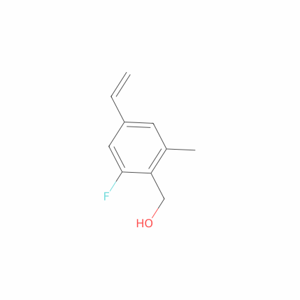 C=Cc1cc(C)c(CO)c(F)c1